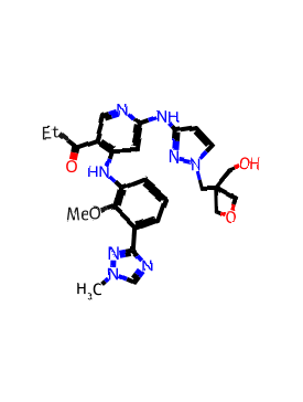 CCC(=O)c1cnc(Nc2ccn(CC3(CO)COC3)n2)cc1Nc1cccc(-c2ncn(C)n2)c1OC